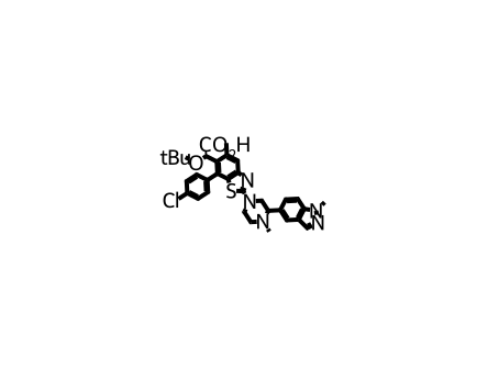 Cc1cc2nc(N3CCN(C)C(c4ccc5c(cnn5C)c4)C3)sc2c(-c2ccc(Cl)cc2)c1[C@H](OC(C)(C)C)C(=O)O